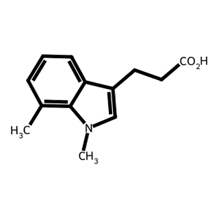 Cc1cccc2c(CCC(=O)O)cn(C)c12